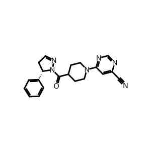 N#Cc1cc(N2CCC(C(=O)N3N=CC[C@H]3c3ccccc3)CC2)ncn1